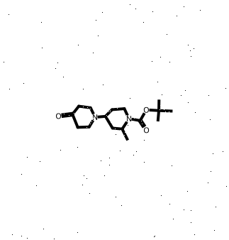 CC1CC(N2CCC(=O)CC2)CCN1C(=O)OC(C)(C)C